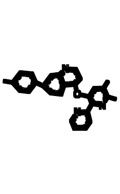 Cc1ccc(-c2ccc3c(Oc4cc(C)c(C)nc4-c4ccccn4)ccnc3c2)cc1